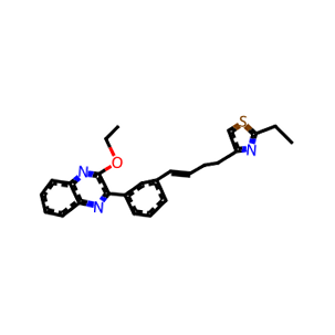 CCOc1nc2ccccc2nc1-c1cccc(/C=C/CCc2csc(CC)n2)c1